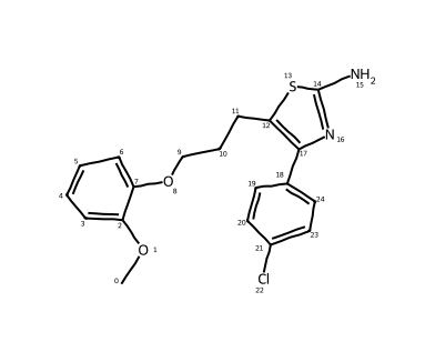 COc1ccccc1OCCCc1sc(N)nc1-c1ccc(Cl)cc1